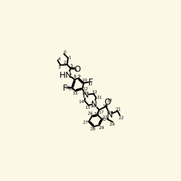 CCC(CC)C(=O)Nc1cc(F)c(N2CCN(C(C(=O)N(CC)CC)c3ccccc3)CC2)cc1F